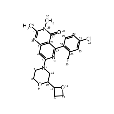 Cc1nc2cc(N3CCOC(C4CCO4)C3)nc(-c3ccc(Cl)cc3F)c2c(=O)n1C